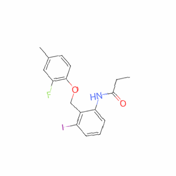 CCC(=O)Nc1cccc(I)c1COc1ccc(C)cc1F